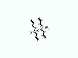 C=CCS[S+]([O-])CC=C.C=CCS[S+]([O-])CC=C.S